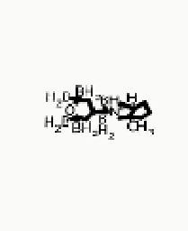 BC1(B)CC(C(B)(B)N2C[C@H]3CCC[C@@]3(C)C2)CC(B)(B)O1